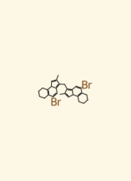 CC1=CC2C(=C1CC1=C3C=C(Br)C4=C(CCCC4)C3C=C1C)C=C(Br)C1=C2CCCC1